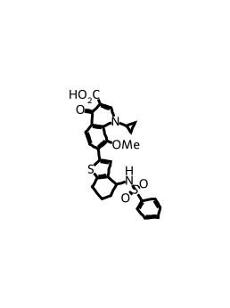 COc1c(-c2cc3c(s2)CCCC3NS(=O)(=O)c2ccccc2)ccc2c(=O)c(C(=O)O)cn(C3CC3)c12